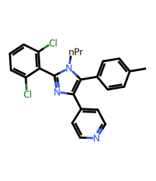 CCCn1c(-c2c(Cl)cccc2Cl)nc(-c2ccncc2)c1-c1ccc(C)cc1